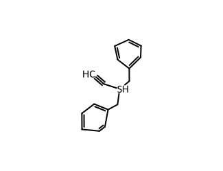 C#C[SH](Cc1ccccc1)Cc1ccccc1